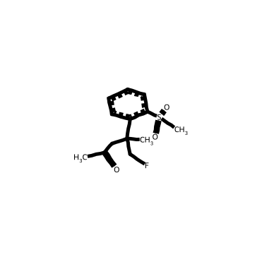 CC(=O)CC(C)(CF)c1ccccc1S(C)(=O)=O